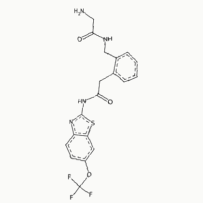 NCC(=O)NCc1ccccc1CC(=O)Nc1nc2ccc(OC(F)(F)F)cc2s1